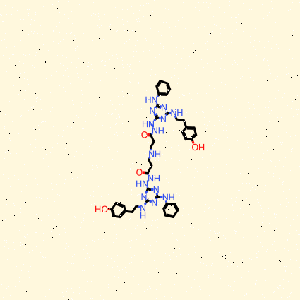 O=C(CCNCCC(=O)NNc1nc(NCCc2ccc(O)cc2)nc(Nc2ccccc2)n1)NNc1nc(NCCc2ccc(O)cc2)nc(Nc2ccccc2)n1